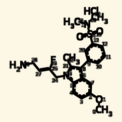 COc1ccc2c(c1)c(-c1cccc(S(=O)(=O)N(C)C)c1)c(C)n2CC(F)=CCN.Cl